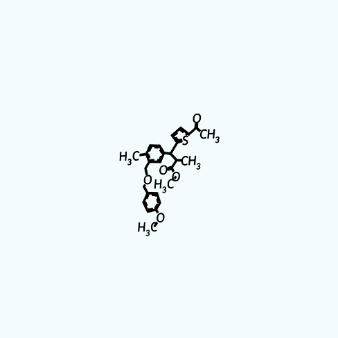 COC(=O)C(C)C(c1ccc(C)c(COCc2ccc(OC)cc2)c1)c1ccc(C(C)=O)s1